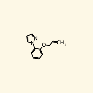 C=CCOc1ccccc1-n1cccn1